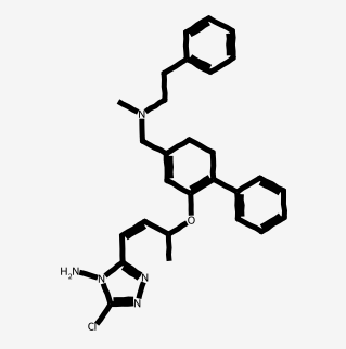 CC(/C=C\c1nnc(Cl)n1N)OC1=C(c2ccccc2)CCC(CN(C)CCc2ccccc2)=C1